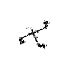 CN1Cc2cc(Cl)c(Cl)cc2[C@H](c2cccc(S(=O)(=O)NCCOCCOCCNC(=O)NCCCC(CCCNC(=O)NCCOCCOCCNS(=O)(=O)c3cccc([C@@H]4CN(C)Cc5c(Cl)cc(Cl)cc54)c3)(CCCNC(=O)NCCOCCOCCNS(=O)(=O)c3cccc([C@@H]4CN(C)Cc5c(Cl)cc(Cl)cc54)c3)NC(=O)COCC(=O)O)c2)C1